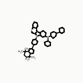 CC1(C)CCC(C)(C)c2cc(-c3ccc(-n4c5cc(N(c6ccccc6)c6ccc(-c7ccccc7)cc6)ccc5c5c6ccccc6ccc54)cc3)ccc21